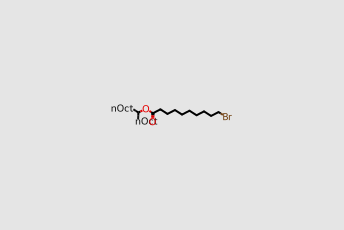 CCCCCCCCC(CCCCCCCC)OC(=O)CCCCCCCCCBr